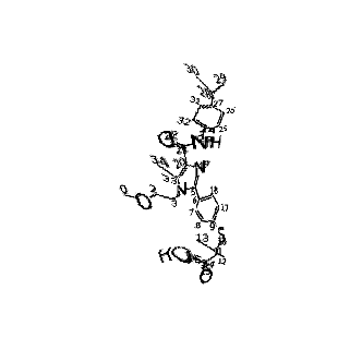 COCCn1c(-c2ccc(SC(C)(C)C(=O)O)cc2)nc(C(=O)Nc2ccc(C(C)C)cc2)c1C